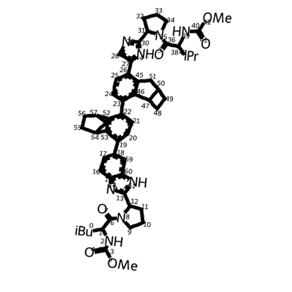 CCC(C)C(NC(=O)OC)C(=O)N1CCCC1c1nc2ccc(-c3ccc(-c4ccc(-c5cnc(C6CCCN6C(=O)C(NC(=O)OC)C(C)C)[nH]5)c5c4C4CCC4C5)c4c3C3CCC4C3)cc2[nH]1